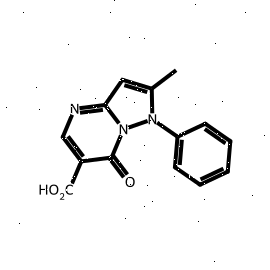 Cc1cc2ncc(C(=O)O)c(=O)n2n1-c1ccccc1